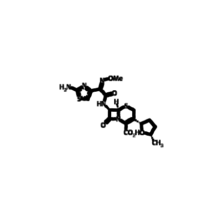 CO/N=C(\C(=O)N[C@@H]1C(=O)N2C(C(=O)O)=C([C@@H]3CC[C@H](C)O3)CS[C@H]12)c1csc(N)n1